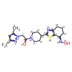 Cc1cc(C(F)(F)F)nn1CC(=O)N1CCC(c2nc3c(s2)C(=NO)CCC3)CC1